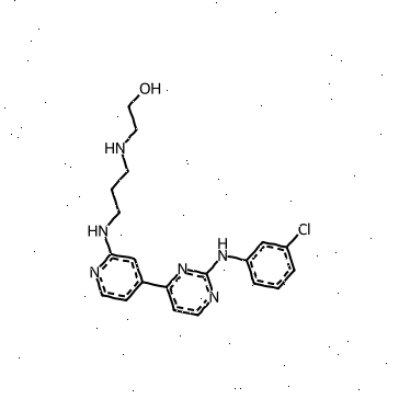 OCCNCCCNc1cc(-c2ccnc(Nc3cccc(Cl)c3)n2)ccn1